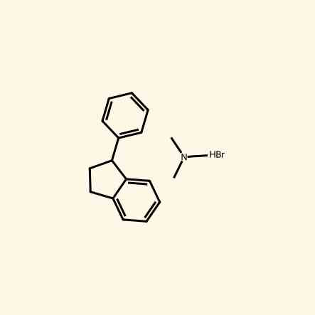 Br.CN(C)C.c1ccc(C2CCc3ccccc32)cc1